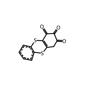 O=C1CC2=C(Sc3ccccc3S2)C(=O)C1=O